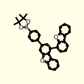 CC1(C)OB(c2ccc(-c3cc(-c4cccc5c4oc4ccccc45)c4c(c3)oc3ccccc34)cc2)OC1(C)C